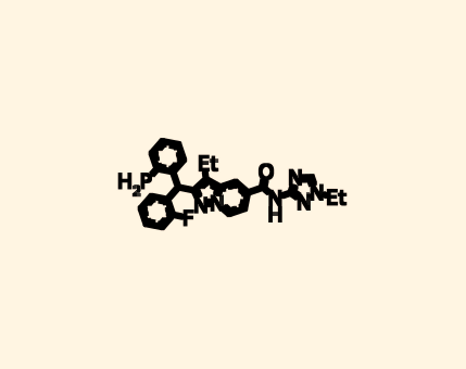 CCc1c(C(c2ccccc2F)c2ccccc2P)nn2ccc(C(=O)Nc3ncn(CC)n3)cc12